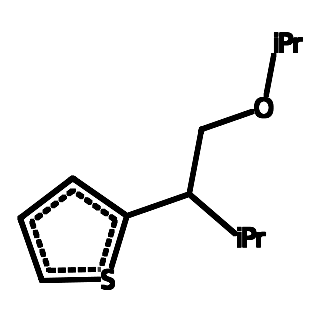 CC(C)OCC(c1cccs1)C(C)C